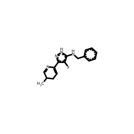 CC1C=NC(c2n[nH]c(NCc3ccccc3)c2F)=CC1